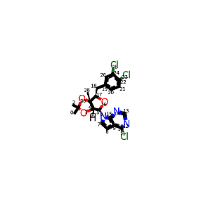 CC1(C)O[C@H]2[C@H](n3ccc4c(Cl)ncnc43)O[C@H](Cc3ccc(Cl)c(Cl)c3)[C@@]2(C)O1